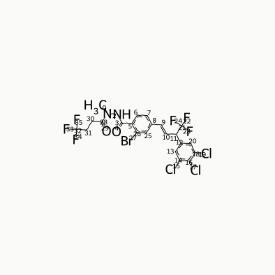 CN(NC(=O)c1ccc(/C=C/C(c2cc(Cl)c(Cl)c(Cl)c2)C(F)(F)F)cc1Br)C(=O)CCC(F)(F)F